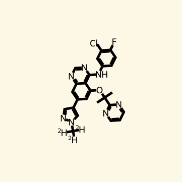 [2H]C([2H])([2H])n1cc(-c2cc(OC(C)(C)c3ncccn3)c3c(Nc4ccc(F)c(Cl)c4)ncnc3c2)cn1